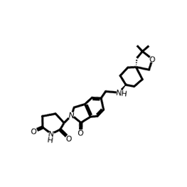 CC1(C)C[C@]2(CC[C@H](NCc3ccc4c(c3)CN(C3CCC(=O)NC3=O)C4=O)CC2)CO1